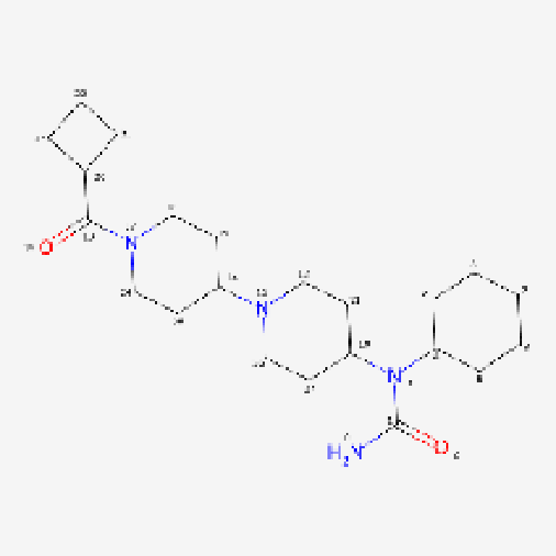 NC(=O)N(C1CCCCC1)C1CCN(C2CCN(C(=O)C3CCC3)CC2)CC1